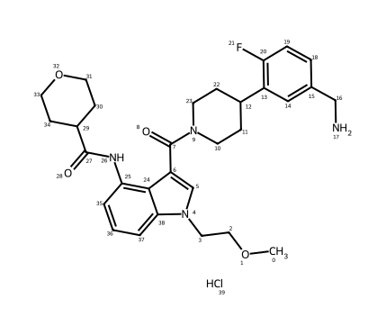 COCCn1cc(C(=O)N2CCC(c3cc(CN)ccc3F)CC2)c2c(NC(=O)C3CCOCC3)cccc21.Cl